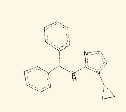 B(c1nccn1C1CC1)C(c1ccccc1)c1ccccc1